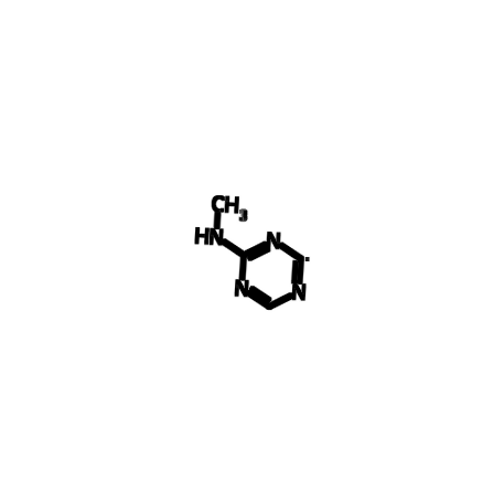 CNc1n[c]ncn1